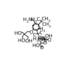 CC(C)(C)c1cc(C(C)(C)C)c(OCC(CO)(CO)CO)cc1CN.O=P(O)(O)OP(=O)(O)O